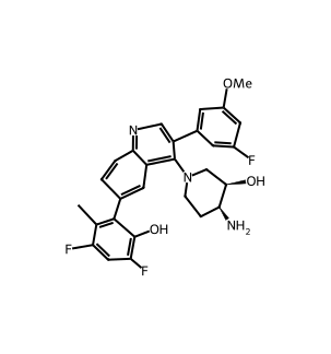 COc1cc(F)cc(-c2cnc3ccc(-c4c(C)c(F)cc(F)c4O)cc3c2N2CC[C@H](N)[C@H](O)C2)c1